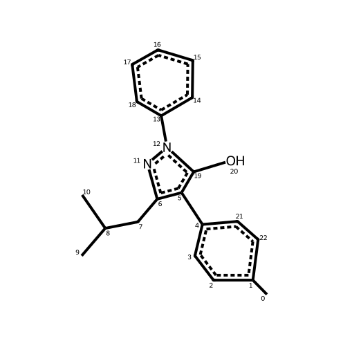 Cc1ccc(-c2c(CC(C)C)nn(-c3ccccc3)c2O)cc1